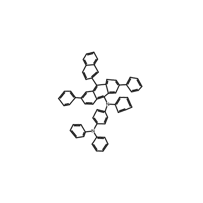 c1ccc(-c2ccc3c(N(c4ccccc4)c4ccc(N(c5ccccc5)c5ccccc5)cc4)c4cc(-c5ccccc5)ccc4c(-c4ccc5ccccc5c4)c3c2)cc1